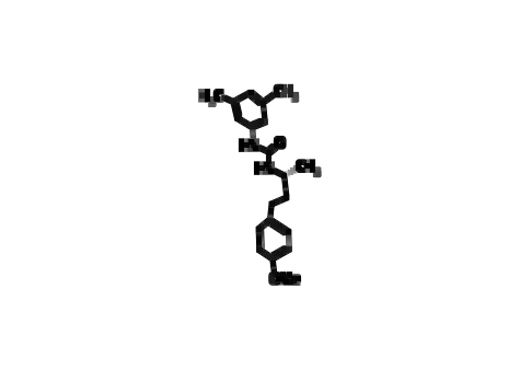 COc1ccc(CC[C@@H](C)NC(=O)Nc2cc(C)cc(C)c2)cc1